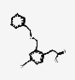 O=C(Cl)Cc1ccc(Cl)cc1COCc1ccccc1